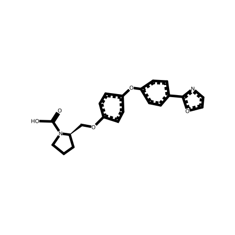 O=C(O)N1CCC[C@@H]1COc1ccc(Oc2ccc(-c3ncco3)cc2)cc1